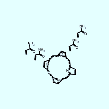 C1=Cc2cc3ccc(cc4nc(cc5ccc(cc1n2)[nH]5)C=C4)[nH]3.C=CC(N)=O.C=CC(N)=O.C=CC(N)=O.C=CC(N)=O